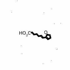 O=C(O)CCCCC=CC1=CCCC1=O